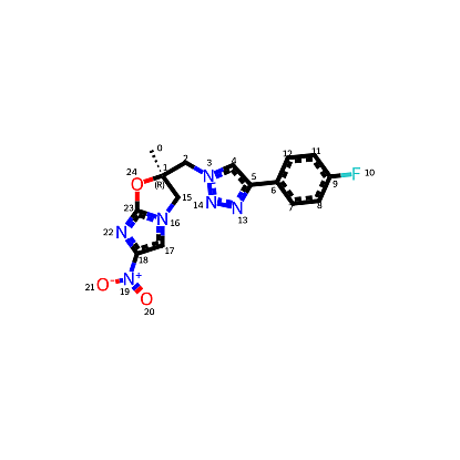 C[C@]1(Cn2cc(-c3ccc(F)cc3)nn2)Cn2cc([N+](=O)[O-])nc2O1